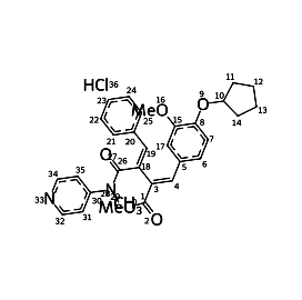 COC(=O)C(=Cc1ccc(OC2CCCC2)c(OC)c1)C(=Cc1ccccc1)C(=O)N(C)c1ccncc1.Cl